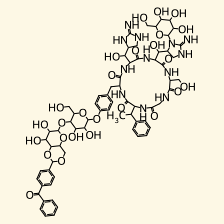 CC(c1ccccc1)C1NC(=O)CNC(=O)C(CO)NC(=O)C(C(O)C2CNC(=N)N2C2OC(CO)C(O)C(O)C2O)NC(=O)C(C(O)C2CNC(=N)N2)NC(=O)C(Cc2ccc(OC3OC(CO)C(OC4OC5COC(c6ccc(C(=O)c7ccccc7)cc6)OC5C(O)C4O)C(O)C3O)cc2)NC1=O